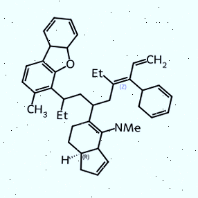 C=C/C(=C(\CC)CC(CC(CC)c1c(C)ccc2c1OC1C=CC=CC21)C1=C(NC)C2C=CC[C@H]2CC1)C1C=CC=CC1